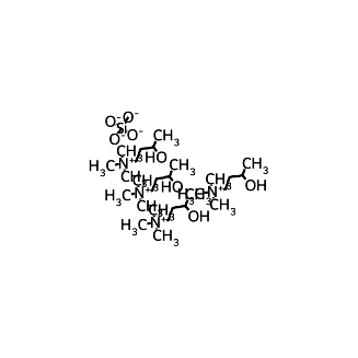 CC(O)CC[N+](C)(C)C.CC(O)CC[N+](C)(C)C.CC(O)CC[N+](C)(C)C.CC(O)CC[N+](C)(C)C.[O-][Si]([O-])([O-])[O-]